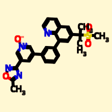 Cc1nc(-c2cc(-c3cccc(-c4cc(C(C)(C)S(C)(=O)=O)cc5cccnc45)c3)c[n+]([O-])c2)no1